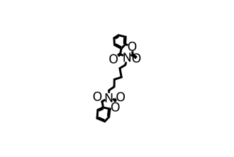 O=c1oc2ccccc2c(=O)n1CCCCCCn1c(=O)oc2ccccc2c1=O